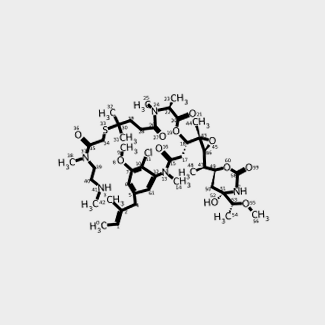 C/C=C(\C)Cc1cc(OC)c(Cl)c(N(C)C(=O)C[C@H](OC(=O)[C@H](C)N(C)C(=O)CCC(C)(C)SCC(=O)N(C)CCNC)[C@]2(C)O[C@H]2[C@H](C)[C@@H]2C[C@](O)([C@@H](C)OC)NC(=O)O2)c1